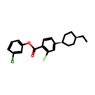 CC[C@H]1CC[C@H](c2ccc(C(=O)Oc3cccc(Cl)c3)c(F)c2)CC1